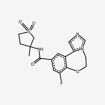 CC1(NC(=O)c2cc(F)c3c(c2)-c2cncn2CCO3)CCS(=O)(=O)C1